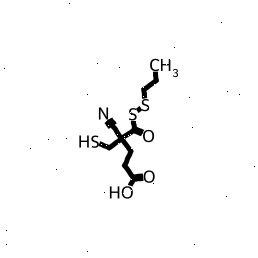 CCCSSC(=O)C(C#N)(CS)CCC(=O)O